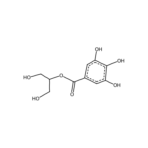 O=C(OC(CO)CO)c1cc(O)c(O)c(O)c1